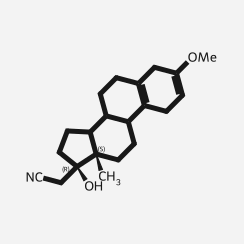 COC1=CCC2=C(CCC3C2CC[C@@]2(C)C3CC[C@@]2(O)CC#N)C1